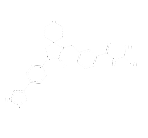 CC(C)NC(=O)c1cccc(CN2C(=O)N(c3ccc(-c4cn[nH]c4)cc3)CC23CCOCC3)c1